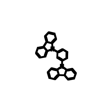 C1=CC=CC2C=1N(c1cccc(-n3c4ccccc4c4ccccc43)c1)c1ccccc12